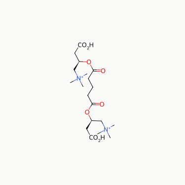 C[N+](C)(C)C[C@@H](CC(=O)O)OC(=O)CCCC(=O)O[C@H](CC(=O)O)C[N+](C)(C)C